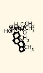 CC(C)(C)C(=O)NC1C[C@@]2(C)C(=CCC3C2C=C[C@]2(C)CCCC32)C=C1P(=O)(O)O